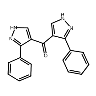 O=C(c1c[nH]nc1-c1ccccc1)c1c[nH]nc1-c1ccccc1